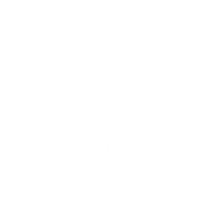 CC(C)Cc1ccc(OCF)cc1